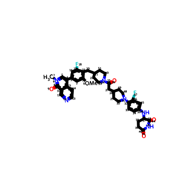 COc1cc(-c2cn(C)c(=O)c3cnccc23)cc(F)c1CC1CCN(C(=O)CC2CCN(c3ccc(NC4CCC(=O)NC4=O)cc3F)CC2)CC1